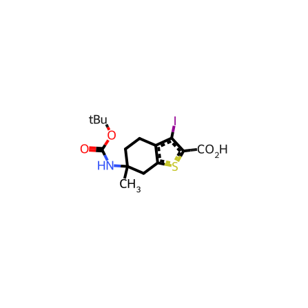 CC1(NC(=O)OC(C)(C)C)CCc2c(sc(C(=O)O)c2I)C1